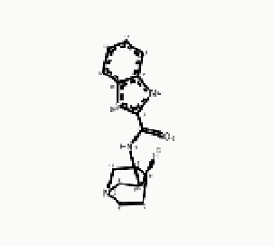 O=C(N[C@H]1CN2CCC1CC2)c1nc2ccccc2s1